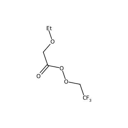 CCOCC(=O)OOCC(F)(F)F